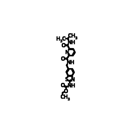 CCOC(=O)Nc1nc2ccc(CNC(=O)c3cccc(C(=O)NC(C)C)n3)cc2s1